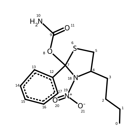 CCCCC1CSC(OC(N)=O)(c2ccccc2)N1[N+](=O)[O-]